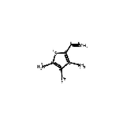 C=Cc1sc(N)c(C(C)C)c1N